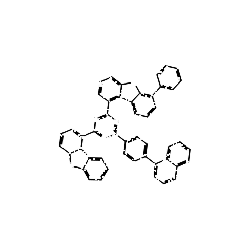 C1=CC2Oc3ccccc3C2C(c2nc(-c3ccc(-c4cccc5ccccc45)cc3)nc(-c3cccc4oc5c(-c6ccccc6)cccc5c34)n2)=C1